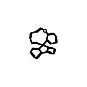 C1=C\C=C\C2(c3ccccc3O/C=C/1)c1ccccc1-c1ccccc12